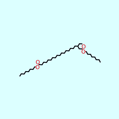 CCCCCCCCOC(=O)CCCCCCCCCCCCCCCCC(CC)CC(=O)OCCCCCCCC